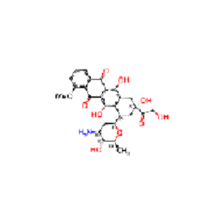 COc1cccc2c1C(=O)c1c(O)c3c(c(O)c1C2=O)C[C@@](O)(C(=O)CO)C[C@@H]3[C@@H]1C[C@H](N)[C@@H](O)[C@H](C)O1